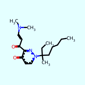 CCCCCC(C)(CC)n1ccc(=O)c(C(=O)C=CN(C)C)n1